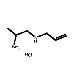 C=CCNCC(C)N.Cl